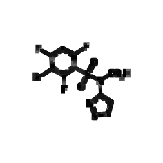 O=C(O)N(c1ccsn1)S(=O)(=O)c1c(F)cc(F)c(Br)c1F